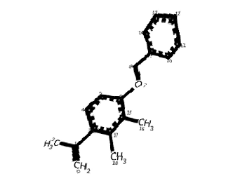 C=C(C)c1ccc(OCc2ccccc2)c(C)c1C